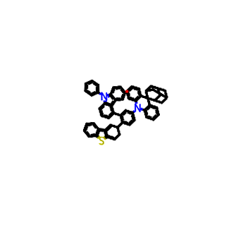 C1=c2sc3ccccc3c2=CC(c2ccc(N3c4ccccc4C4(c5ccccc53)C3CC5CC(C3)CC4C5)cc2-c2cccc3c2c2ccccc2n3-c2ccccc2)C1